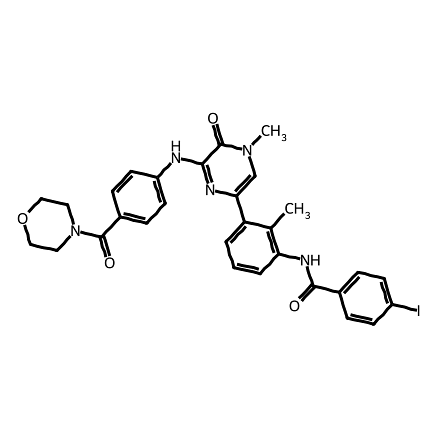 Cc1c(NC(=O)c2ccc(I)cc2)cccc1-c1cn(C)c(=O)c(Nc2ccc(C(=O)N3CCOCC3)cc2)n1